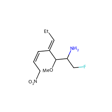 CC/C=C(\C=C/C[N+](=O)[O-])C(OC)C(N)CF